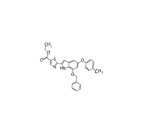 CCOC(=O)c1cnc(-c2cc3cc(Oc4ccc(C)cc4)cc(OCc4ccccc4)c3[nH]2)s1